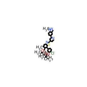 Cc1cc2nc(-c3ccnc(-c4ccc5c(cnn5C)c4)c3)sc2c(-c2ccc(Cl)cc2)c1[C@H](COC(=O)C(C)(C)C)OC(C)(C)C